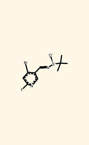 CC(C)(C)[S@+]([O-])/N=C/c1cnc(F)cc1Br